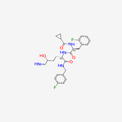 N=CC(O)CC[C@H](NC(=O)[C@H](Cc1ccccc1F)NC(=O)C1CC1)C(=O)NCc1ccc(F)cc1